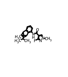 CC(C)C1(C)C2CCC1c1c(NC(=O)c3cn(C)nc3F)cccc12